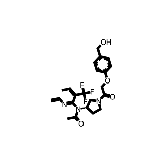 C=C/N=C(\C(=C/C)C(F)(F)F)N(C(C)=O)[C@@H]1CCN(C(=O)COc2ccc(CO)cc2)C1